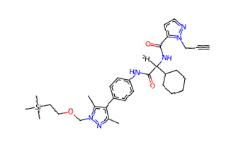 [2H]C(NC(=O)c1ccnn1CC#C)(C(=O)Nc1ccc(-c2c(C)nn(COCC[Si](C)(C)C)c2C)cc1)C1CCCCC1